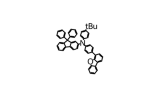 CC(C)(C)c1ccc(N(c2ccc(-c3cccc4c3oc3ccccc34)cc2)c2ccc3c(c2)C(c2ccccc2)(c2ccccc2)c2ccccc2-3)cc1